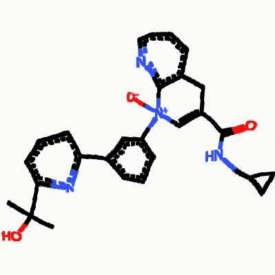 CC(C)(O)c1cccc(-c2cccc([N+]3([O-])C=C(C(=O)NC4CC4)Cc4cccnc43)c2)n1